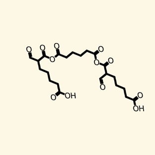 O=CC(CCCCC(=O)O)C(=O)OC(=O)CCCCC(=O)OC(=O)C(C=O)CCCCC(=O)O